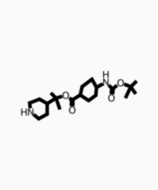 CC(C)(C)OC(=O)NC1CCC(C(=O)OC(C)(C)C2CCNCC2)CC1